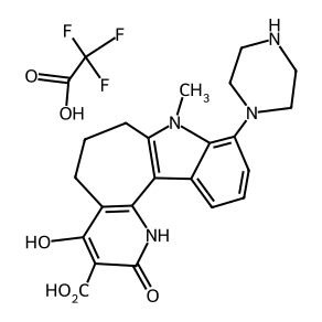 Cn1c2c(c3cccc(N4CCNCC4)c31)-c1[nH]c(=O)c(C(=O)O)c(O)c1CCC2.O=C(O)C(F)(F)F